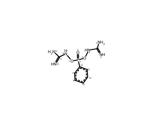 N=C(N)NOP(=O)(ONC(=N)N)c1ccccc1